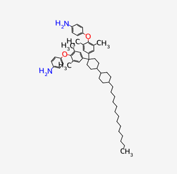 CCCCCCCCCCCCCCC1CCC(C2CCC(c3cc(C)c(Oc4ccc(N)cc4)c(C)c3)(c3cc(C)c(Oc4ccc(N)cc4)c(C)c3)CC2)CC1